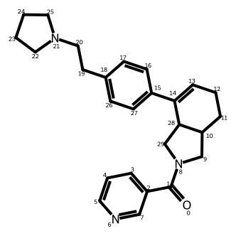 O=C(c1cccnc1)N1CC2CCC=C(c3ccc(CCN4CCCC4)cc3)C2C1